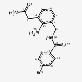 NC(=O)Cc1cccc(CNC(=O)c2ccc(Br)cc2)c1N